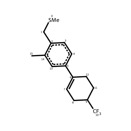 CSCc1ccc(C2=CCC(C(F)(F)F)CC2)cc1C